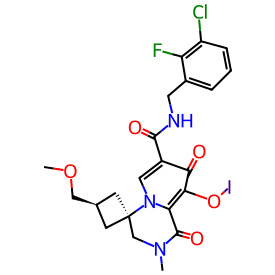 COC[C@H]1C[C@]2(CN(C)C(=O)c3c(OI)c(=O)c(C(=O)NCc4cccc(Cl)c4F)cn32)C1